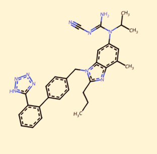 CCCc1nc2c(C)cc(N(C(N)=NC#N)C(C)C)cc2n1Cc1ccc(-c2ccccc2-c2nnn[nH]2)cc1